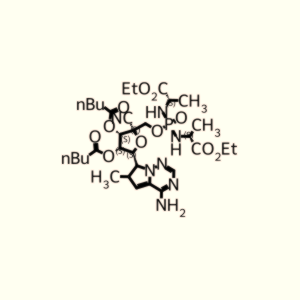 CCCCC(=O)O[C@H]1[C@H](C2C(C)C=C3C(N)=NC=NN32)O[C@](C#N)(COP(=O)(N[C@@H](C)C(=O)OCC)N[C@@H](C)C(=O)OCC)[C@H]1OC(=O)CCCC